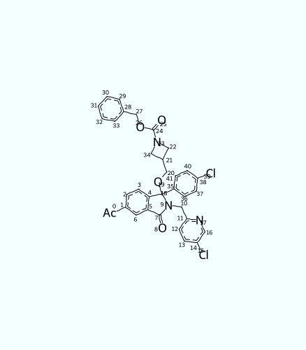 CC(=O)c1ccc2c(c1)C(=O)N(Cc1ccc(Cl)cn1)C2(OCC1CN(C(=O)OCc2ccccc2)C1)c1ccc(Cl)cc1